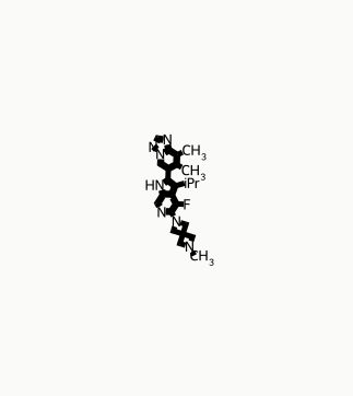 Cc1c(-c2[nH]c3cnc(N4CC5(CN(C)C5)C4)c(F)c3c2C(C)C)cn2ncnc2c1C